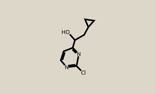 OC(CC1CC1)c1ccnc(Cl)n1